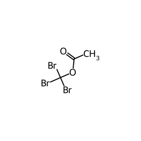 CC(=O)OC(Br)(Br)Br